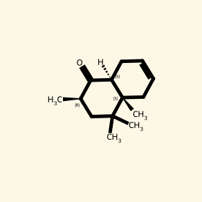 C[C@@H]1CC(C)(C)[C@@]2(C)CC=CC[C@@H]2C1=O